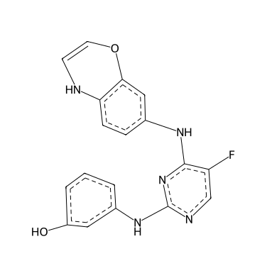 Oc1cccc(Nc2ncc(F)c(Nc3ccc4c(c3)OC=CN4)n2)c1